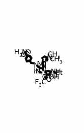 CCC(=O)N[C@H]1C[C@@H](n2cnc3c(NCCc4ccc(S(N)(=O)=O)cc4)nc(N4CC[C@@H](N(C)C)C4)nc32)[C@H](OC(=O)C(F)(F)F)[C@@H]1O